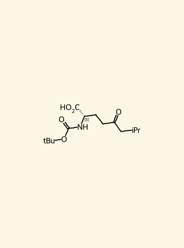 CC(C)CC(=O)CC[C@H](NC(=O)OC(C)(C)C)C(=O)O